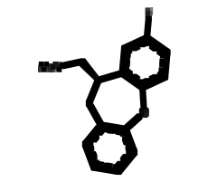 CNC[C@@H]1Cc2ccccc2Oc2ccc(F)cc21